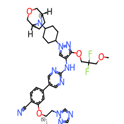 COCC(F)(F)COc1nn(C2CCC(N3[C@@H]4CC[C@H]3COC4)CC2)cc1Nc1ncc(-c2ccc(C#N)c(O[C@@H](C)Cn3cncn3)c2)cn1